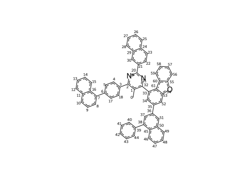 Cc1c(-c2ccc(-c3cccc4ccccc34)cc2)nc(-c2ccc3ccccc3c2)nc1-c1cc(-c2cc(-c3ccccc3)c3ccccc3c2)cc2oc3ccccc3c12